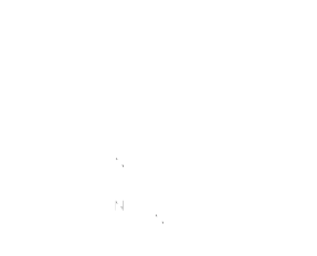 CN1NN=C[C]1c1ccccc1